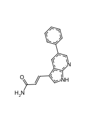 NC(=O)/C=C/c1c[nH]c2ncc(-c3ccccc3)cc12